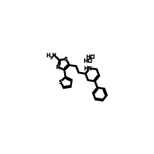 Cl.Cl.Nc1nc(-c2cccs2)c(CCC2CC(c3ccccc3)=CCN2)s1